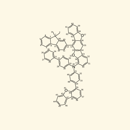 CC1(C)c2ccccc2-c2ccc(-c3c4oc5c(N(c6ccc(-c7ccccc7)cc6)c6ccc(-c7cccc8c7oc7ccccc78)cc6)cccc5c4cc4oc5ccccc5c34)cc21